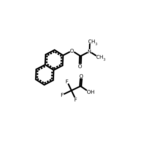 CN(C)C(=O)Oc1ccc2ccccc2c1.O=C(O)C(F)(F)F